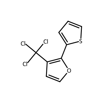 ClC(Cl)(Cl)c1ccoc1-c1cccs1